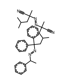 CC(C)CC(C)(C#N)N=NC(C)(C#N)CC(C)CC(N=NC(C)c1ccccc1)(c1ccccc1)c1ccccc1